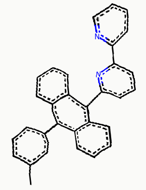 Cc1cccc(-c2c3ccccc3c(-c3cccc(-c4ccccn4)n3)c3ccccc23)c1